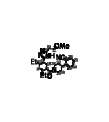 CCc1cc(CC)c(-c2nnc(CCOC)[nH]2)cc1C(=O)N1CCC(c2ccccc2C#N)CC1